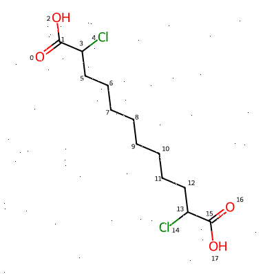 O=C(O)C(Cl)CCCCCCCCC(Cl)C(=O)O